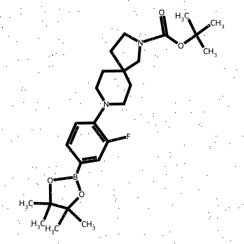 CC(C)(C)OC(=O)N1CCC2(CCN(c3ccc(B4OC(C)(C)C(C)(C)O4)cc3F)CC2)C1